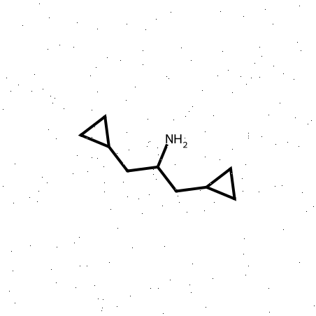 NC(CC1CC1)CC1CC1